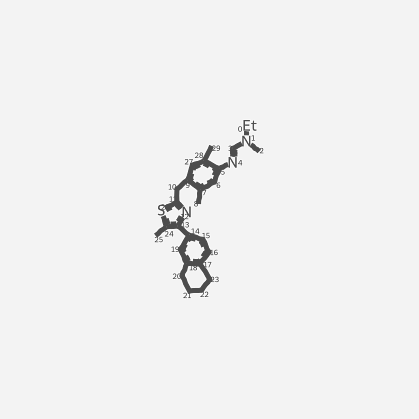 CCN(C)/C=N/c1cc(C)c(Cc2nc(-c3ccc4c(c3)CCCC4)c(C)s2)cc1C